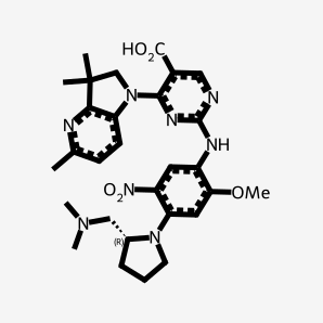 COc1cc(N2CCC[C@@H]2CN(C)C)c([N+](=O)[O-])cc1Nc1ncc(C(=O)O)c(N2CC(C)(C)c3nc(C)ccc32)n1